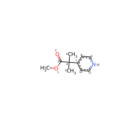 COC(=O)C(C)(C)c1ccncc1